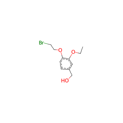 CCOc1cc(CO)ccc1OCCBr